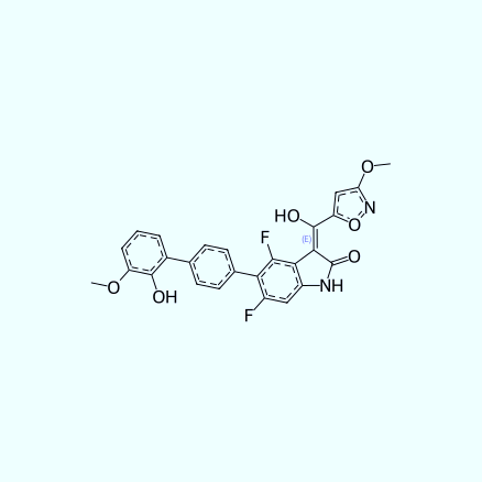 COc1cc(/C(O)=C2\C(=O)Nc3cc(F)c(-c4ccc(-c5cccc(OC)c5O)cc4)c(F)c32)on1